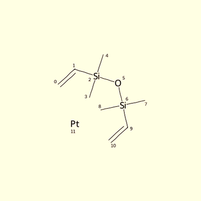 C=C[Si](C)(C)O[Si](C)(C)C=C.[Pt]